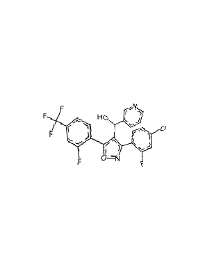 OC(c1cccnc1)c1c(-c2ccc(Cl)cc2F)noc1-c1ccc(C(F)(F)F)cc1F